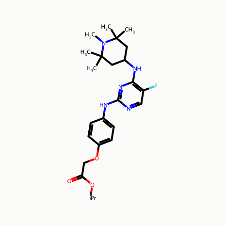 CC(C)OC(=O)COc1ccc(Nc2ncc(F)c(NC3CC(C)(C)N(C)C(C)(C)C3)n2)cc1